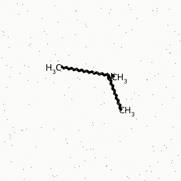 CCCCCCCCCCCCCCCCCCCCN(CC)CCCCCCCCCCCCCC